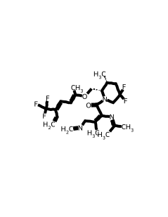 C=C/C(=C\C=C(/C)OC[C@@H]1[C@H](C)CC(F)(F)CN1C(=O)/C(N=C(C)C)=C(/C)CN=C)C(F)(F)F